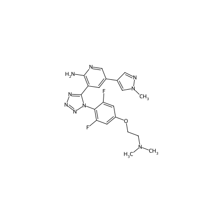 CN(C)CCOc1cc(F)c(-n2nnnc2-c2cc(-c3cnn(C)c3)cnc2N)c(F)c1